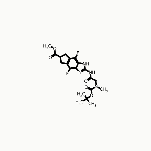 COC(=O)C1Cc2c(c(F)c3[nH]c(NC(=O)CN(C)C(=O)OC(C)(C)C)nc3c2F)C1